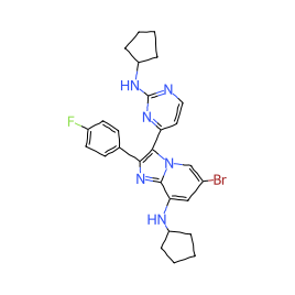 Fc1ccc(-c2nc3c(NC4CCCC4)cc(Br)cn3c2-c2ccnc(NC3CCCC3)n2)cc1